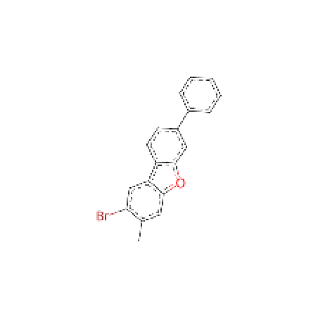 Cc1cc2oc3cc(-c4ccccc4)ccc3c2cc1Br